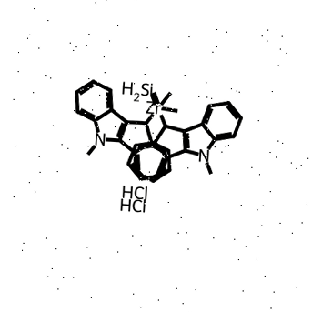 Cl.Cl.Cn1c2c(c3ccccc31)[CH]([Zr]([CH3])([CH3])(=[SiH2])[CH]1c3ccccc3-c3c1c1ccccc1n3C)c1ccccc1-2